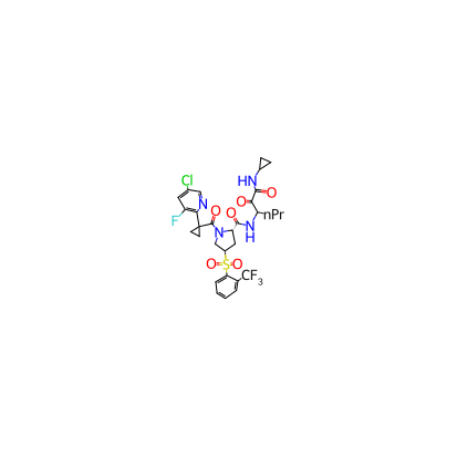 CCCC(NC(=O)[C@@H]1C[C@@H](S(=O)(=O)c2ccccc2C(F)(F)F)CN1C(=O)C1(c2ncc(Cl)cc2F)CC1)C(=O)C(=O)NC1CC1